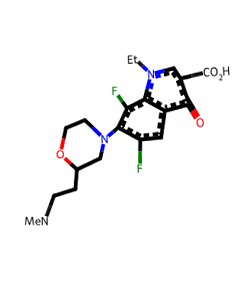 CCn1cc(C(=O)O)c(=O)c2cc(F)c(N3CCOC(CCNC)C3)c(F)c21